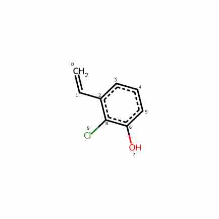 C=Cc1cccc(O)c1Cl